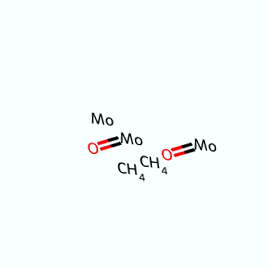 C.C.[Mo].[O]=[Mo].[O]=[Mo]